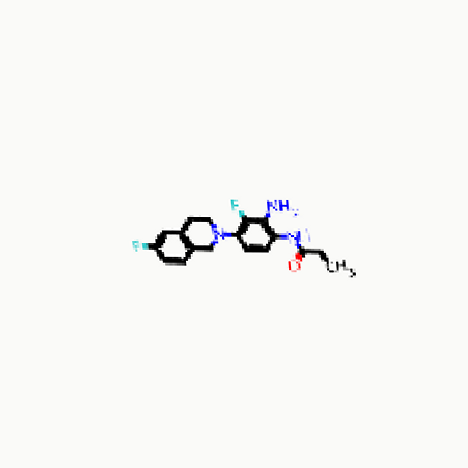 CCC(=O)Nc1ccc(N2CCc3cc(F)ccc3C2)c(F)c1N